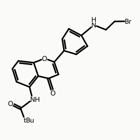 CC(C)(C)C(=O)Nc1cccc2oc(-c3ccc(NCCBr)cc3)cc(=O)c12